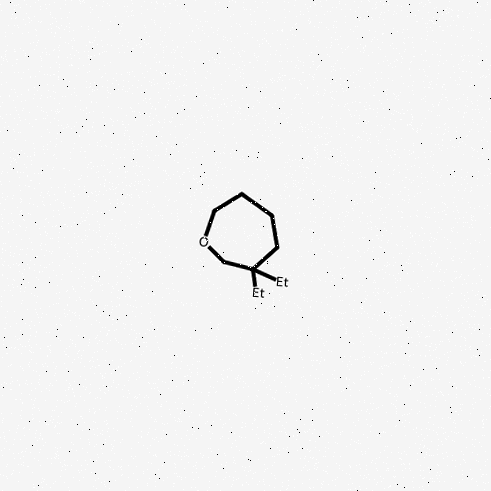 CCC1(CC)CCCCOC1